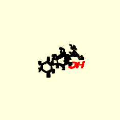 Oc1cc(-c2ccccc2)ccc1C1CC1